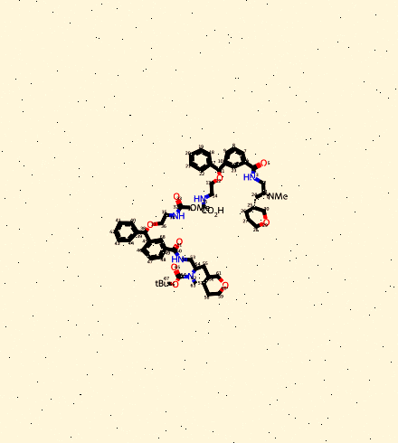 CN[C@@H](CNC(=O)c1cccc(C(OCCNC(=O)O)c2ccccc2)c1)C[C@H]1CCCOC1.COC(=O)NCCOC(c1ccccc1)c1cccc(C(=O)NCC(CC2CCCOC2)N(C)C(=O)OC(C)(C)C)c1